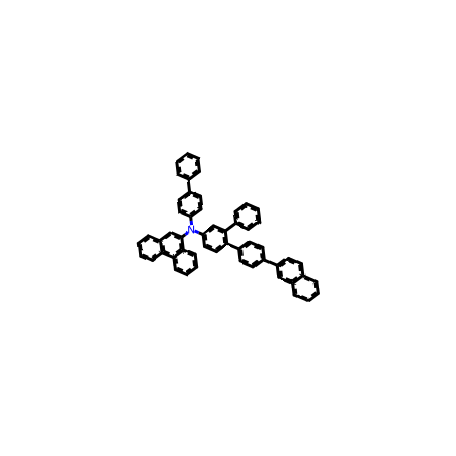 c1ccc(-c2ccc(N(c3ccc(-c4ccc(-c5ccc6ccccc6c5)cc4)c(-c4ccccc4)c3)c3cc4ccccc4c4ccccc34)cc2)cc1